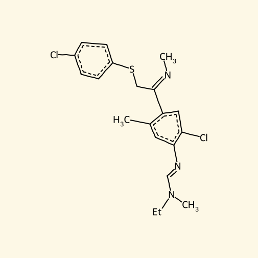 CCN(C)C=Nc1cc(C)c(/C(CSc2ccc(Cl)cc2)=N/C)cc1Cl